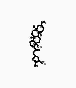 C[C@H]1CC[C@]2(F)C3CC[C@@]4(C)C(CC[C@@H]4C(=O)Cn4cc(C(F)(F)F)c(C#N)n4)[C@@H]3CC[C@@H]2C1